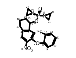 O=[N+]([O-])c1cc2c(cc1Oc1ccccc1F)C(OP(=O)(N1CC1)N1CC1)CCC2